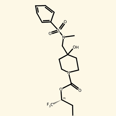 CN(CC1(O)CCN(C(=O)O[C@H](CO)C(F)(F)F)CC1)S(=O)(=O)c1ccccc1